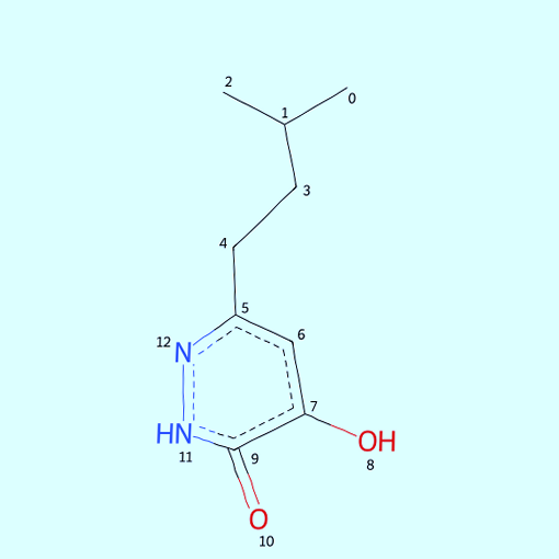 CC(C)CCc1cc(O)c(=O)[nH]n1